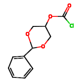 O=C(Cl)OC1COC(c2ccccc2)OC1